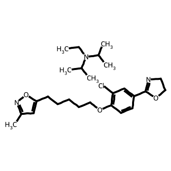 CCN(C(C)C)C(C)C.Cc1cc(CCCCCOc2ccc(C3=NCCO3)cc2Cl)on1